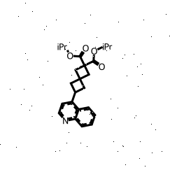 CC(C)OC(=O)C1(C(=O)OC(C)C)CC2(CC(c3ccnc4ccccc34)C2)C1